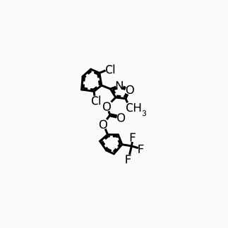 Cc1onc(-c2c(Cl)cccc2Cl)c1OC(=O)Oc1cccc(C(F)(F)F)c1